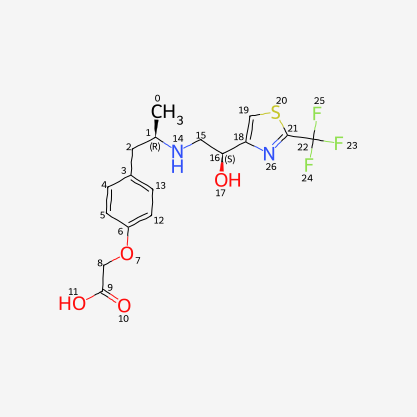 C[C@H](Cc1ccc(OCC(=O)O)cc1)NC[C@H](O)c1csc(C(F)(F)F)n1